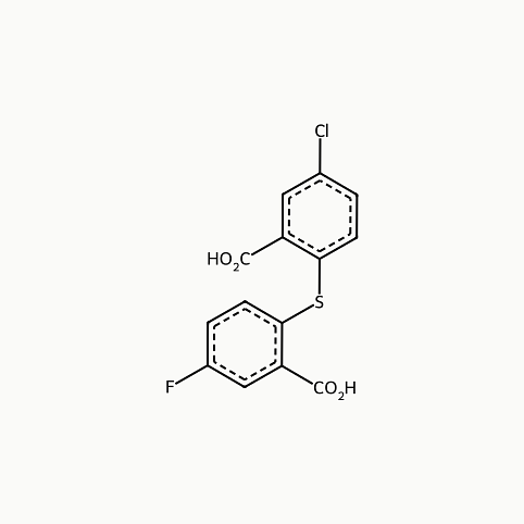 O=C(O)c1cc(F)ccc1Sc1ccc(Cl)cc1C(=O)O